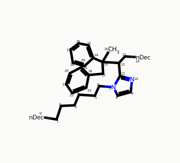 CCCCCCCCCCCCCCCCn1ccnc1C(CCCCCCCCCCC)C(C)(Cc1ccccc1)c1ccccc1